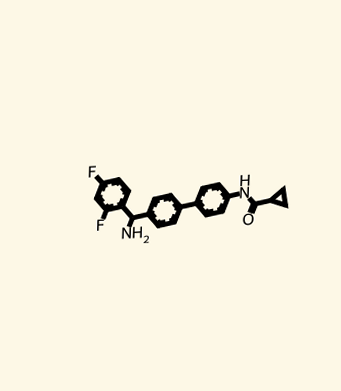 NC(c1ccc(-c2ccc(NC(=O)C3CC3)cc2)cc1)c1ccc(F)cc1F